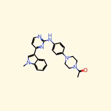 CC(=O)N1CCN(c2ccc(Nc3nccc(-c4cn(C)c5ccccc45)n3)cc2)CC1